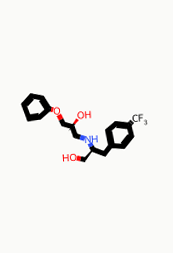 OC[C@H](Cc1ccc(C(F)(F)F)cc1)NC[C@H](O)COc1ccccc1